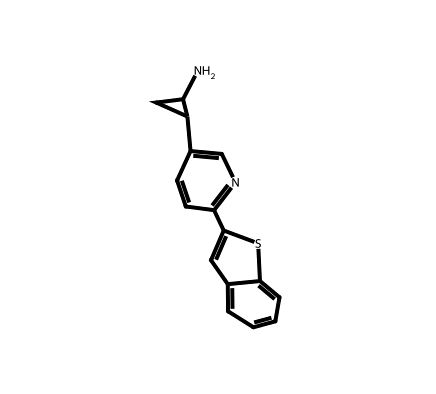 NC1CC1c1ccc(-c2cc3ccccc3s2)nc1